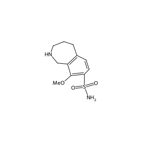 COc1c(S(N)(=O)=O)ccc2c1CNCCC2